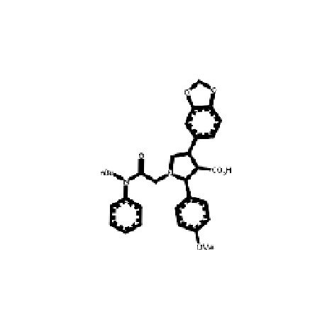 CCCCN(C(=O)CN1CC(c2ccc3c(c2)OCO3)C(C(=O)O)C1c1ccc(OC)cc1)c1ccccc1